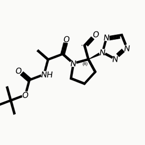 CC(NC(=O)OC(C)(C)C)C(=O)N1CCC[C@]1([C]=O)n1ncnn1